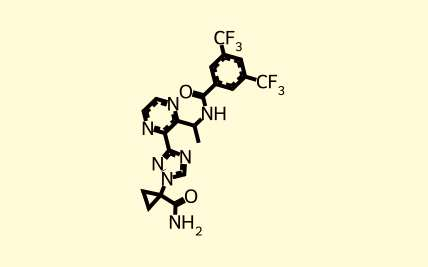 CC(NC(=O)c1cc(C(F)(F)F)cc(C(F)(F)F)c1)c1nccnc1-c1ncn(C2(C(N)=O)CC2)n1